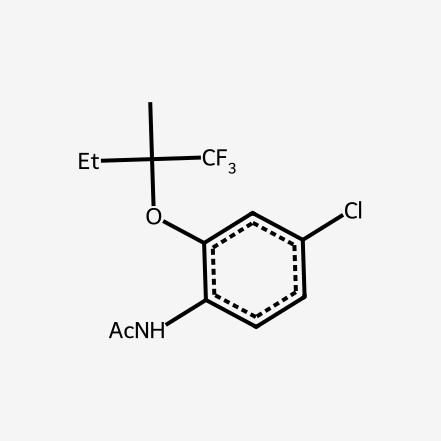 CCC(C)(Oc1cc(Cl)ccc1NC(C)=O)C(F)(F)F